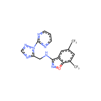 FC(F)(F)c1cc(C(F)(F)F)c2onc(NCc3ncnn3-c3ncccn3)c2c1